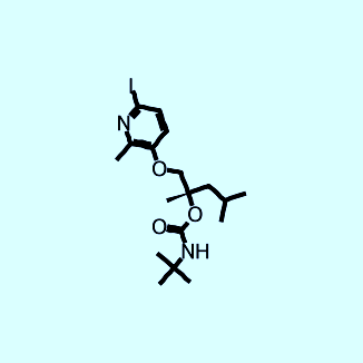 Cc1nc(I)ccc1OC[C@](C)(CC(C)C)OC(=O)NC(C)(C)C